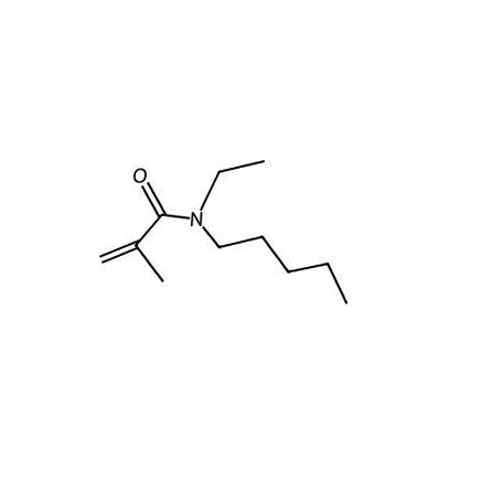 C=C(C)C(=O)N(CC)CCCCC